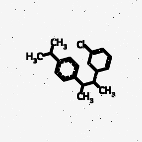 CC(C)c1ccc(C(C)C(C)C2C=CC=C(Cl)C2)cc1